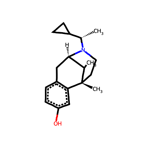 CC1[C@H]2Cc3ccc(O)cc3[C@@]1(C)CCN2[C@@H](C)C1CC1